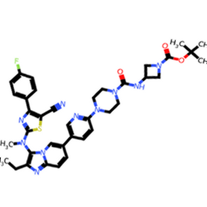 CCc1nc2ccc(-c3ccc(N4CCN(C(=O)NC5CN(C(=O)OC(C)(C)C)C5)CC4)nc3)cn2c1N(C)c1nc(-c2ccc(F)cc2)c(C#N)s1